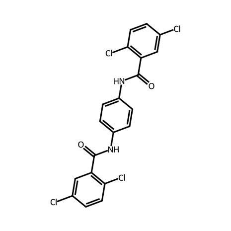 O=C(Nc1ccc(NC(=O)c2cc(Cl)ccc2Cl)cc1)c1cc(Cl)ccc1Cl